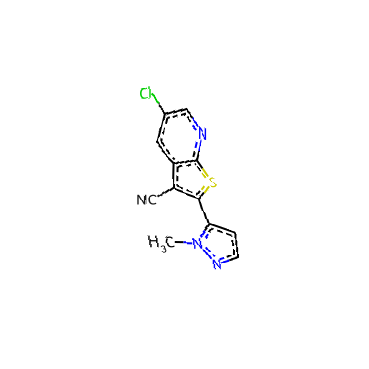 Cn1nccc1-c1sc2ncc(Cl)cc2c1C#N